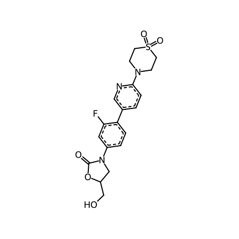 O=C1OC(CO)CN1c1ccc(-c2ccc(N3CCS(=O)(=O)CC3)nc2)c(F)c1